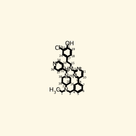 CCN(Cc1cccc(-c2ccnc(NCCc3ccc(O)c(Cl)c3)n2)c1)C1CCN(Cc2ccncc2)CC1